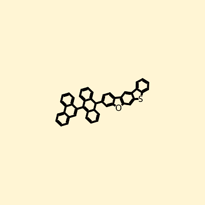 C1=CC2=C(c3cc4ccccc4c4ccccc34)c3ccccc3C(c3ccc4c(c3)oc3cc5sc6ccccc6c5cc34)C2C=C1